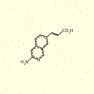 Nc1cc2ccc(C=CC(=O)O)cc2cn1